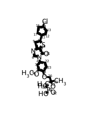 COc1cc(-n2cnc3cc(-c4ccc(Cl)cc4)sc3c2=O)ccc1OCC(C)(C)OP(=O)(O)O